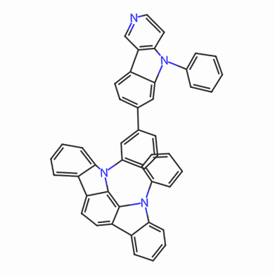 c1ccc(-n2c3ccncc3c3ccc(-c4cccc(-n5c6ccccc6c6ccc7c8ccccc8n(-c8ccccc8)c7c65)c4)cc32)cc1